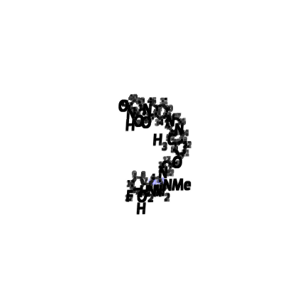 CN/C(N)=C(/C=C(\N)c1cccc(F)c1O)N1CCC(Oc2ccc(CN3CCN(c4ccc5c(c4)C(=O)N(C4CCC(=O)NC4=O)C5)CC3)c(C)c2)C1